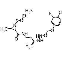 C=C(CCNC(=O)C1C(C)N1SOCC)NNOCOc1ccc(Cl)c(F)c1.S